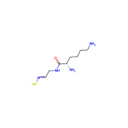 NCCCC[C@H](N)C(=O)NC/C=N/S